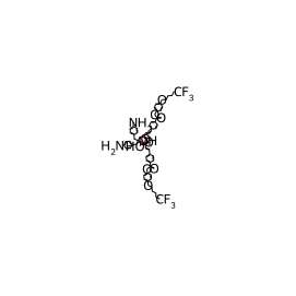 Nc1ccc(CC(CC(=O)C=Cc2ccc(C(=O)Oc3ccc(OCCCCC(F)(F)F)cc3)cc2)(Cc2ccc(N)cc2)C(O)(O)C(=O)C=Cc2ccc(C(=O)Oc3ccc(OCCCCC(F)(F)F)cc3)cc2)cc1